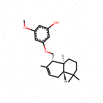 COc1cc(O)cc(OC[C@H]2C(C)=CC[C@H]3C(C)(C)CCC[C@]23C)c1